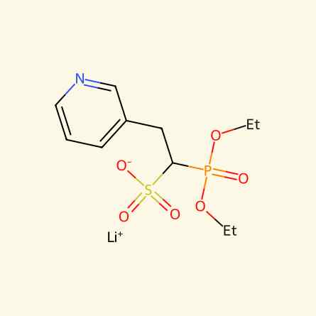 CCOP(=O)(OCC)C(Cc1cccnc1)S(=O)(=O)[O-].[Li+]